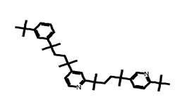 CC(C)(C)c1cccc(C(C)(C)CCC(C)(C)c2ccnc(C(C)(C)CCC(C)(C)c3ccc(C(C)(C)C)nc3)c2)c1